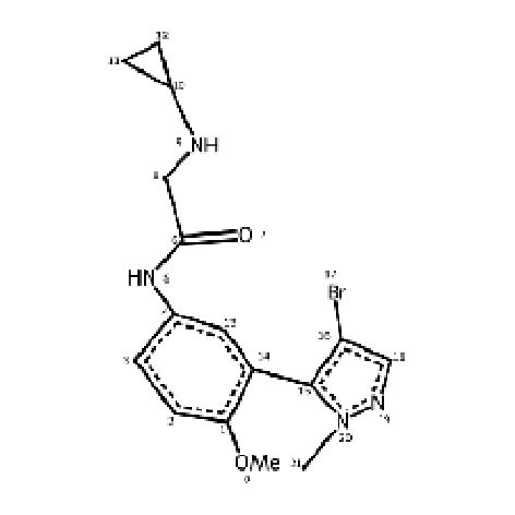 COc1ccc(NC(=O)CNC2CC2)cc1-c1c(Br)cnn1C